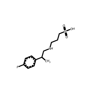 CC(CNCCCS(=O)(=O)O)c1ccc(F)cc1